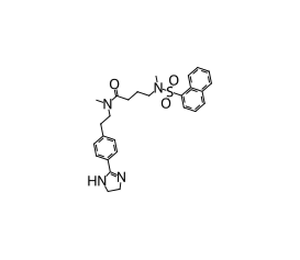 CN(CCc1ccc(C2=NCCN2)cc1)C(=O)CCCN(C)S(=O)(=O)c1cccc2ccccc12